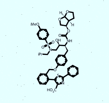 COc1ccc(S(=O)(=O)N(CC(C)C)C[C@@H](O)[C@H](Cc2ccc(OCc3ccccc3-c3sc(-c4ccccc4)nc3C(=O)O)cc2)NC(=O)O[C@H]2CO[C@H]3OCC[C@H]32)cc1